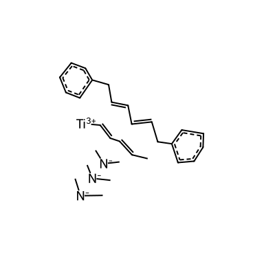 C(C=CCc1ccccc1)=CCc1ccccc1.CC=CC=[CH][Ti+3].C[N-]C.C[N-]C.C[N-]C